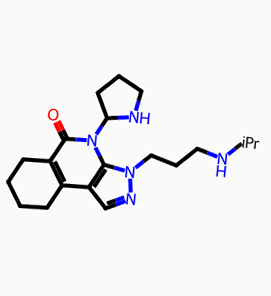 CC(C)NCCCn1ncc2c3c(c(=O)n(C4CCCN4)c21)CCCC3